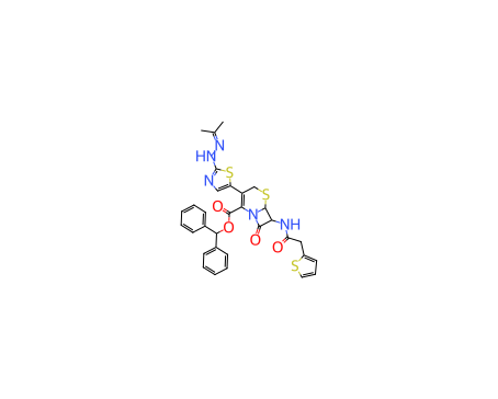 CC(C)=NNc1ncc(C2=C(C(=O)OC(c3ccccc3)c3ccccc3)N3C(=O)C(NC(=O)Cc4cccs4)C3SC2)s1